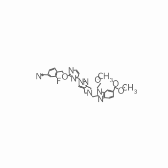 COCCn1c(CN2Cc3cn(-c4ccnc(OCc5ccc(C#N)cc5F)n4)nc3C2)nc2ccc(C(=O)OC)cc21